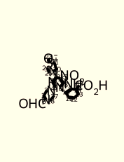 O=CN1CCN(c2nc(Nc3ccccc3C(=O)O)c([N+](=O)[O-])c(N3CC[S+]([O-])CC3)n2)CC1